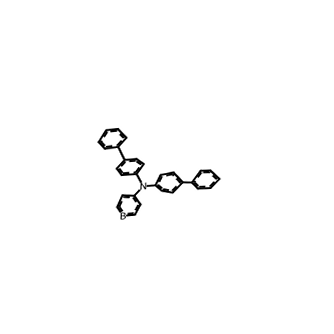 b1ccc(N(c2ccc(-c3ccccc3)cc2)c2ccc(-c3ccccc3)cc2)cc1